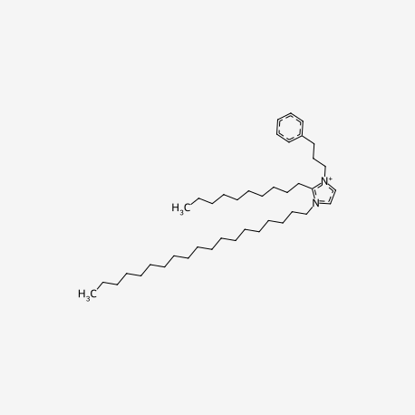 CCCCCCCCCCCCCCCCCCCn1cc[n+](CCCc2ccccc2)c1CCCCCCCCCC